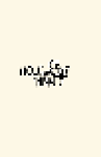 O=C(O)c1[nH]nc(C(F)(F)CF)c1C(F)(F)F